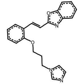 C(=C\c1ccccc1OCCCn1ccnc1)/c1nc2ccccc2o1